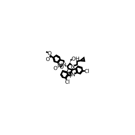 COC(=O)c1ccc(CN[C@@H]2[C@H](CO)N(CCC3CC3)[C@@]3(C(=O)Nc4cc(Cl)ccc43)[C@H]2c2cccc(Cl)c2F)c([N+](=O)[O-])c1